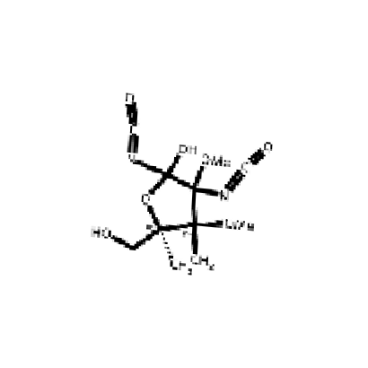 COC1(N=C=O)C(O)(N=C=O)O[C@](C)(CO)[C@]1(C)OC